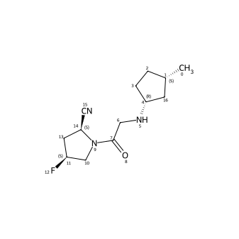 C[C@H]1CC[C@@H](NCC(=O)N2C[C@@H](F)C[C@H]2C#N)C1